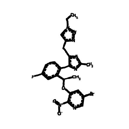 CCn1cc(Cc2sc(C)nc2-c2ccc(F)cc2[C@@H](C)Oc2cc(Br)cnc2[N+](=O)[O-])nn1